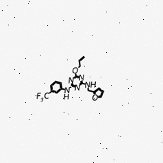 C=CCOc1nc(NCc2ccco2)nc(Nc2cccc(C(F)(F)F)c2)n1